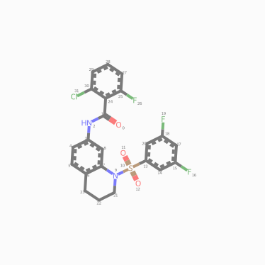 O=C(Nc1ccc2c(c1)N(S(=O)(=O)c1cc(F)cc(F)c1)CCC2)c1c(F)cccc1Cl